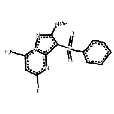 CNc1nn2c(N)cc(C)nc2c1S(=O)(=O)c1ccccc1